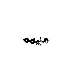 Cc1ccc(-c2ccc(-c3cc(NCc4ccco4)n(C)n3)c(C)c2)cc1